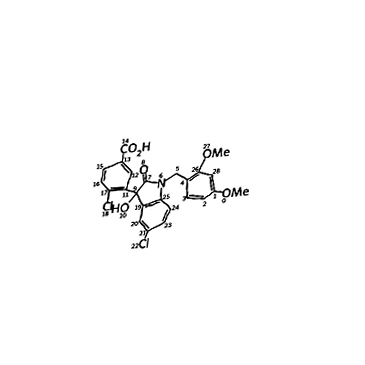 COc1ccc(CN2C(=O)C(O)(c3cc(C(=O)O)ccc3Cl)c3cc(Cl)ccc32)c(OC)c1